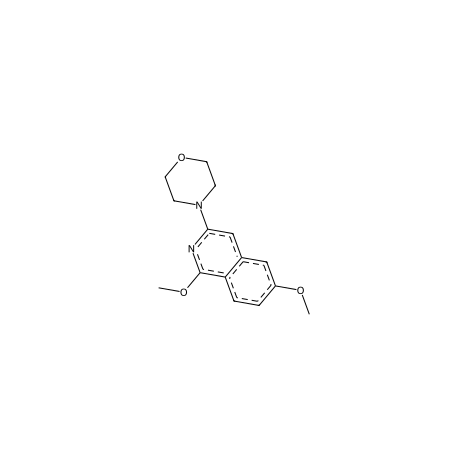 COc1ccc2c(OC)nc(N3CCOCC3)cc2c1